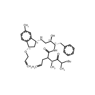 C=CCO[C@H]1C[C@@H](NC[C@@H](O)[C@H](Cc2ccccc2)NC(=O)C(CC=C)N(C)C(=O)C(C)CCCC)c2cc(C)ccc21